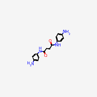 Nc1ccc(NC(=O)CCC(=O)Nc2ccc(N)cc2)cc1